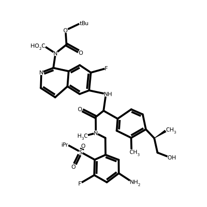 Cc1cc(C(Nc2cc3ccnc(N(C(=O)O)C(=O)OC(C)(C)C)c3cc2F)C(=O)N(C)Cc2cc(N)cc(F)c2S(=O)(=O)C(C)C)ccc1[C@@H](C)CO